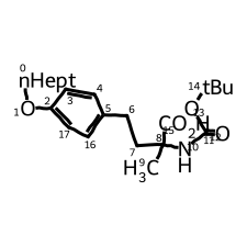 CCCCCCCOc1ccc(CCC(C)(NC(=O)OC(C)(C)C)C(=O)O)cc1